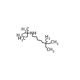 CCC(C)(CC)CCCCCNC(C)(CC)CC